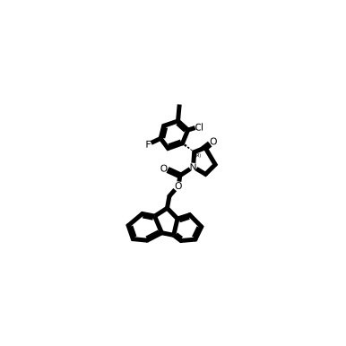 Cc1cc(F)cc([C@@H]2C(=O)CCN2C(=O)OCC2c3ccccc3-c3ccccc32)c1Cl